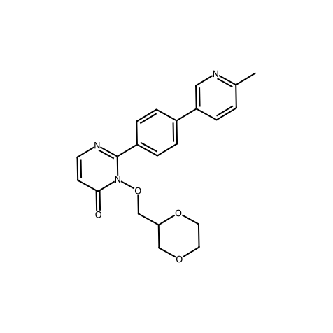 Cc1ccc(-c2ccc(-c3nccc(=O)n3OCC3COCCO3)cc2)cn1